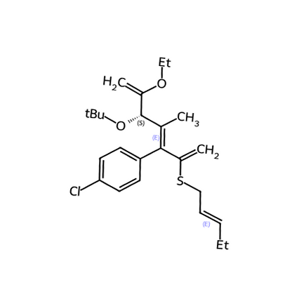 C=C(SC/C=C/CC)/C(=C(\C)[C@H](OC(C)(C)C)C(=C)OCC)c1ccc(Cl)cc1